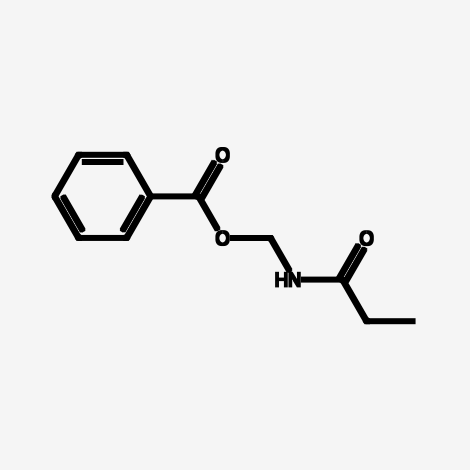 CCC(=O)NCOC(=O)c1ccccc1